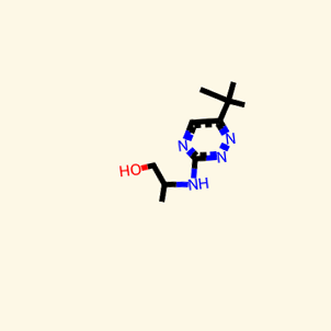 CC(CO)Nc1ncc(C(C)(C)C)nn1